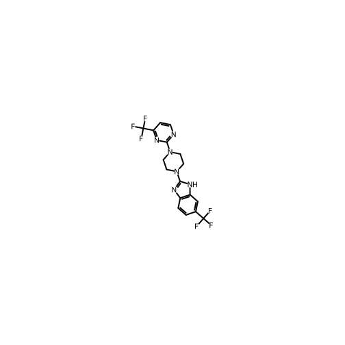 FC(F)(F)c1ccc2nc(N3CCN(c4nccc(C(F)(F)F)n4)CC3)[nH]c2c1